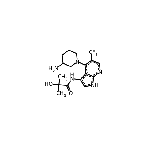 CC(C)(O)C(=O)Nc1c[nH]c2ncc(C(F)(F)F)c(N3CCCC(N)C3)c12